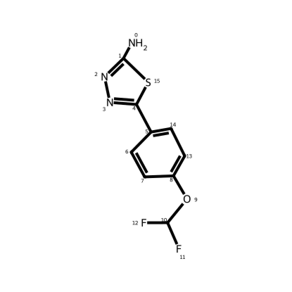 Nc1nnc(-c2ccc(OC(F)F)cc2)s1